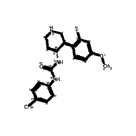 COc1ccc(C2CNCC[C@H]2NC(=O)Nc2ccc(Cl)cc2)c(F)c1